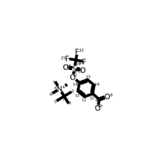 CC(C)(C)[N+](C)(C)C.O=C([O-])c1ccc(OS(=O)(=O)C(F)(F)F)cc1